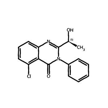 C[C@H](O)c1nc2cccc(Cl)c2c(=O)n1-c1ccccc1